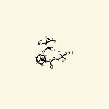 CCC1(C(=O)OC2=C3C4CC3CC(C(=O)OCC(F)(F)S(=O)(=O)O)(C2)C4)CC1C